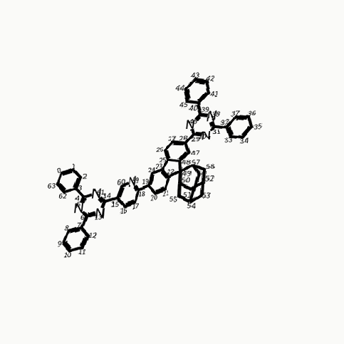 c1ccc(-c2nc(-c3ccccc3)nc(-c3ccc(-c4ccc5c(c4)-c4ccc(-c6nc(-c7ccccc7)nc(-c7ccccc7)n6)cc4C54C5CC6CC(C5)CC4C6)nc3)n2)cc1